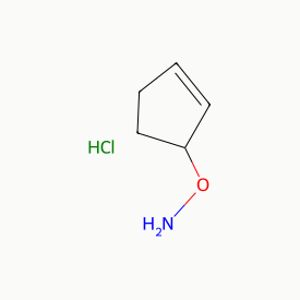 Cl.NOC1C=CCC1